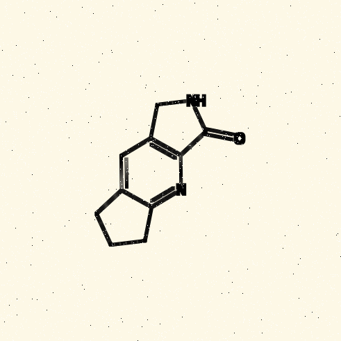 O=C1NCc2cc3c(nc21)CCC3